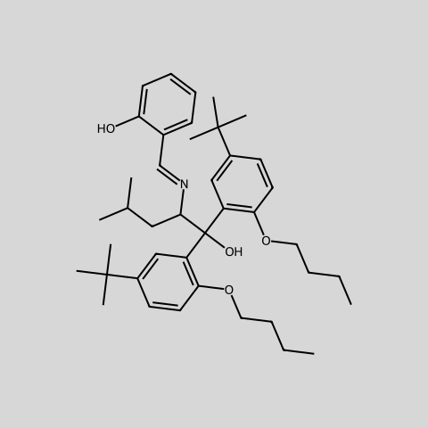 CCCCOc1ccc(C(C)(C)C)cc1C(O)(c1cc(C(C)(C)C)ccc1OCCCC)C(CC(C)C)N=Cc1ccccc1O